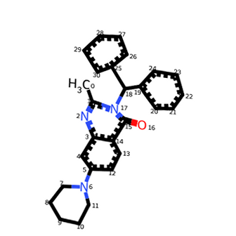 Cc1nc2cc(N3CCCCC3)ccc2c(=O)n1C(c1ccccc1)c1ccccc1